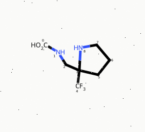 O=C(O)NCC1(C(F)(F)F)CCCN1